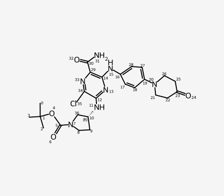 CC(C)(C)OC(=O)N1CC[C@@H](Nc2nc(Nc3ccc(N4CCC(=O)CC4)cc3)c(C(N)=O)nc2Cl)C1